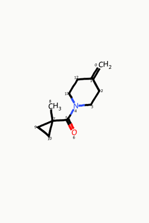 C=C1CCN(C(=O)C2(C)CC2)CC1